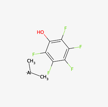 Oc1c(F)c(F)c(F)c(F)c1F.[CH3][Al][CH3]